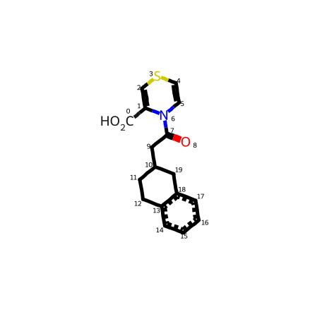 O=C(O)C1=CSC=CN1C(=O)CC1CCc2ccccc2C1